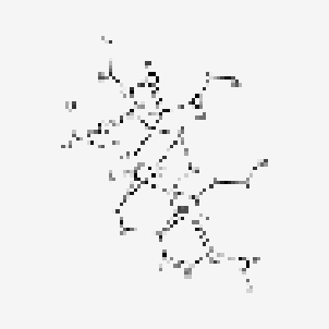 CCCCC12CC3N(C)C(Cc4ccc(OC)cc41)C2(CCCC)CC3(C(=O)OCC)C(=O)OCC